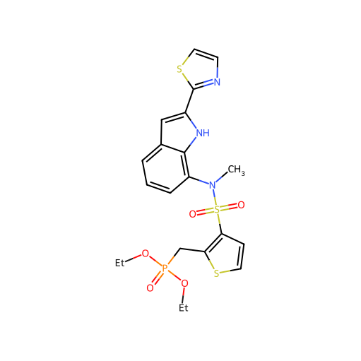 CCOP(=O)(Cc1sccc1S(=O)(=O)N(C)c1cccc2cc(-c3nccs3)[nH]c12)OCC